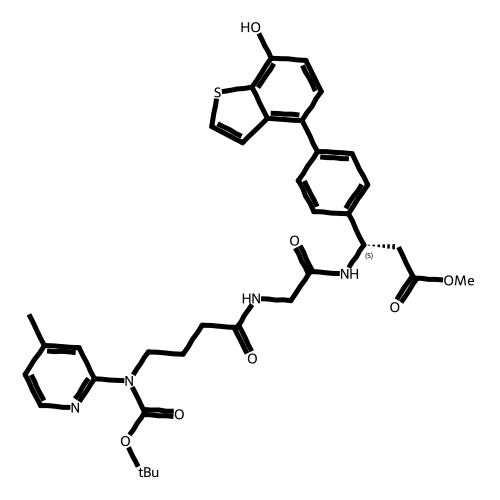 COC(=O)C[C@H](NC(=O)CNC(=O)CCCN(C(=O)OC(C)(C)C)c1cc(C)ccn1)c1ccc(-c2ccc(O)c3sccc23)cc1